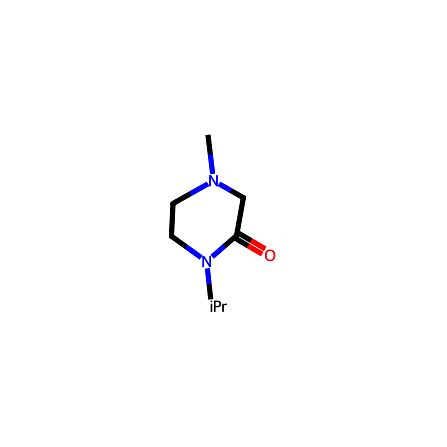 CC(C)N1CCN(C)CC1=O